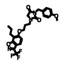 CCCc1c(OCCCN2CC(=O)N(Cc3ccc(OC)cc3)C2=O)ccc2c(C(F)(F)F)noc12